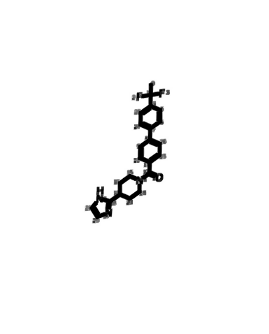 CC(F)(F)c1ccc(-c2ccc(C(=O)N3CCC(c4ncc[nH]4)CC3)cc2)cc1